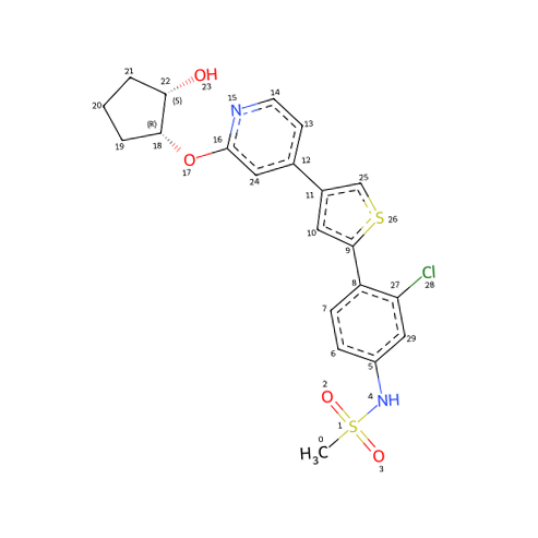 CS(=O)(=O)Nc1ccc(-c2cc(-c3ccnc(O[C@@H]4CCC[C@@H]4O)c3)cs2)c(Cl)c1